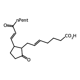 CCCCCC(=O)C=CC1CCC(=O)C1CC=CCCCC(=O)O